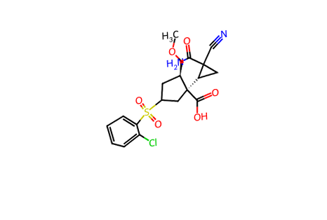 COC[C@@H]1CC(S(=O)(=O)c2ccccc2Cl)C[C@@]1(C(=O)O)C1CC1(C#N)C(N)=O